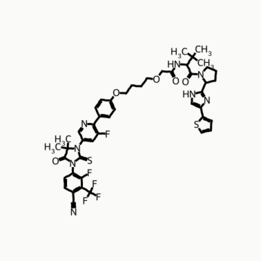 CC(C)(C)C(NC(=O)COCCCCOc1ccc(-c2ncc(N3C(=S)N(c4ccc(C#N)c(C(F)(F)F)c4F)C(=O)C3(C)C)cc2F)cc1)C(=O)N1CCCC1c1nc(-c2cccs2)c[nH]1